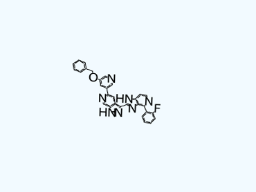 Fc1ccccc1-c1nccc2[nH]c(-c3n[nH]c4cnc(-c5cncc(OCc6ccccc6)c5)cc34)nc12